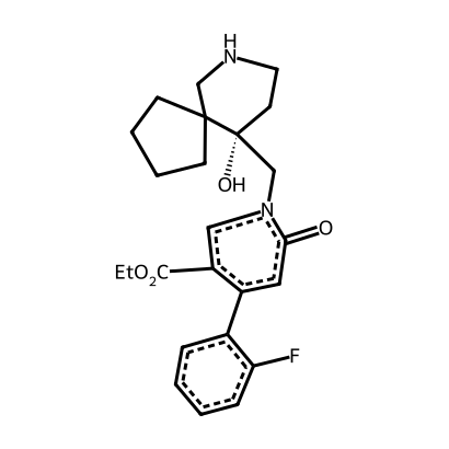 CCOC(=O)c1cn(C[C@]2(O)CCNCC23CCCC3)c(=O)cc1-c1ccccc1F